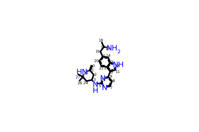 C=C1CC(Nc2nccc(-c3c[nH]c4cc(CC(C)N)ccc34)n2)CC(C)(C)N1